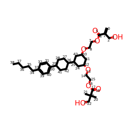 C=C(CO)C(=O)OCCOC1CC(OCCOC(=O)C(C)(C)CO)CC(C2CCC(c3ccc(CCCCC)cc3)CC2)C1